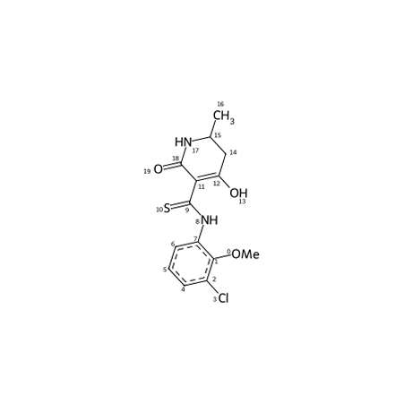 COc1c(Cl)cccc1NC(=S)C1=C(O)CC(C)NC1=O